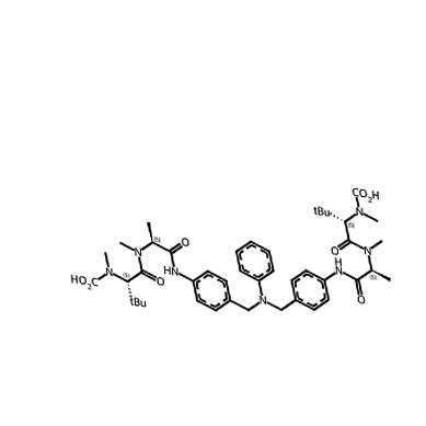 C[C@@H](C(=O)Nc1ccc(CN(Cc2ccc(NC(=O)[C@H](C)N(C)C(=O)[C@@H](N(C)C(=O)O)C(C)(C)C)cc2)c2ccccc2)cc1)N(C)C(=O)[C@@H](N(C)C(=O)O)C(C)(C)C